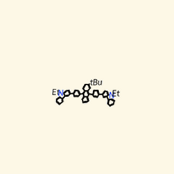 CCn1c2ccccc2c2cc(-c3ccc(-c4c5ccccc5c(-c5ccc(-c6ccc7c(c6)c6ccccc6n7CC)cc5)c5cc(C(C)(C)C)ccc45)cc3)ccc21